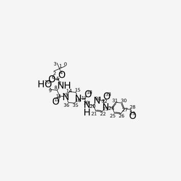 CC(C)(C)OC(=O)NC(CO)C(=O)N1CCN(C(=O)Nc2ccn(-c3ccc(C=O)cc3)c(=O)n2)CC1